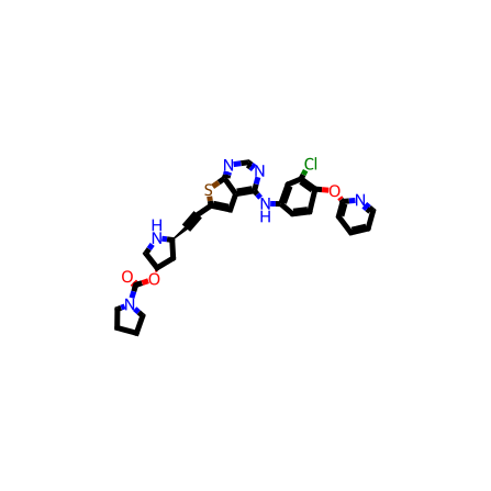 O=C(O[C@@H]1CN[C@@H](C#Cc2cc3c(Nc4ccc(Oc5ccccn5)c(Cl)c4)ncnc3s2)C1)N1CCCC1